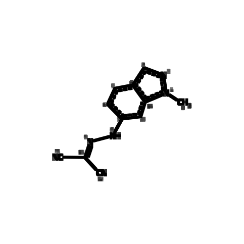 Cn1ncc2ccc(NN=C(C#N)C#N)cc21